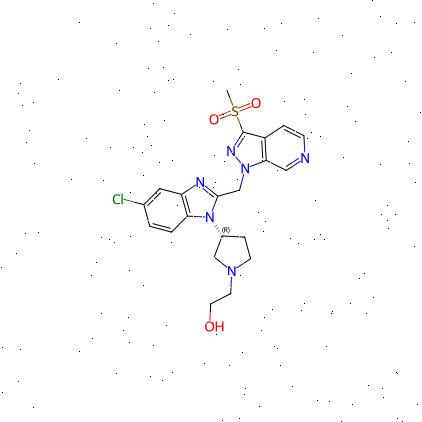 CS(=O)(=O)c1nn(Cc2nc3cc(Cl)ccc3n2[C@@H]2CCN(CCO)C2)c2cnccc12